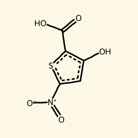 O=C(O)c1sc([N+](=O)[O-])cc1O